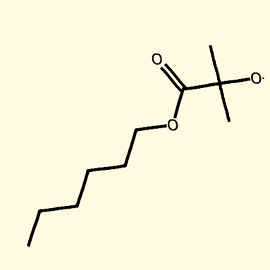 CCCCCCOC(=O)C(C)(C)[O]